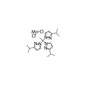 CC(C)c1ccn(C(C)(n2ccc(C(C)C)n2)n2ccc(C(C)C)n2)n1.[Cl][Mn][Cl]